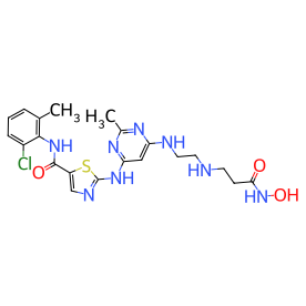 Cc1nc(NCCNCCC(=O)NO)cc(Nc2ncc(C(=O)Nc3c(C)cccc3Cl)s2)n1